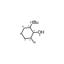 CC1CCCC(C(C)(C)C)C1O